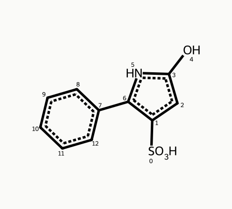 O=S(=O)(O)c1cc(O)[nH]c1-c1ccccc1